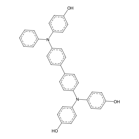 Oc1ccc(N(c2ccccc2)c2ccc(-c3ccc(N(c4ccc(O)cc4)c4ccc(O)cc4)cc3)cc2)cc1